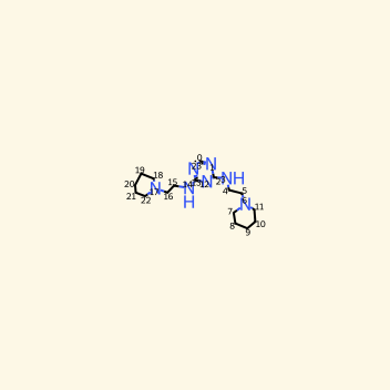 [c]1nc(NCCN2CCCCC2)nc(NCCN2CCCCC2)n1